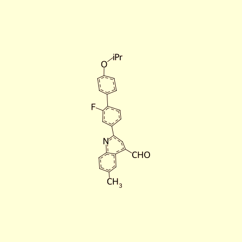 Cc1ccc2nc(-c3ccc(-c4ccc(OC(C)C)cc4)c(F)c3)cc(C=O)c2c1